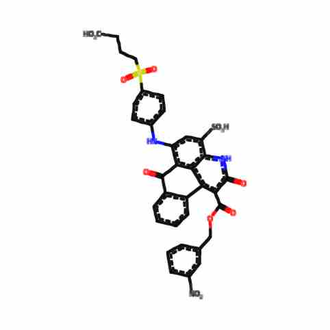 O=C(O)CCCS(=O)(=O)c1ccc(Nc2cc(S(=O)(=O)O)c3[nH]c(=O)c(C(=O)OCc4cccc([N+](=O)[O-])c4)c4c3c2C(=O)c2ccccc2-4)cc1